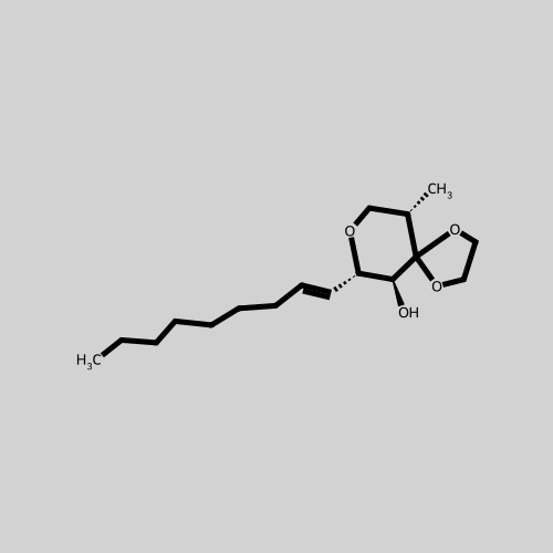 CCCCCCCC=C[C@@H]1OC[C@H](C)C2(OCCO2)[C@H]1O